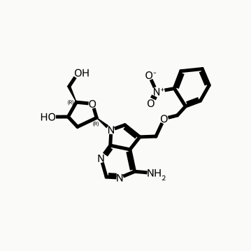 Nc1ncnc2c1c(COCc1ccccc1[N+](=O)[O-])cn2[C@H]1CC(O)[C@@H](CO)O1